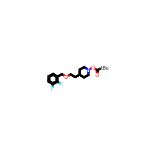 CC(C)(C)C(=O)ON1CCC(CCOCc2cccc(F)c2F)CC1